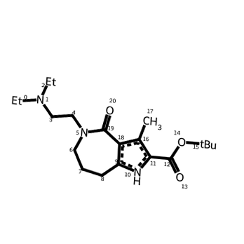 CCN(CC)CCN1CCCc2[nH]c(C(=O)OC(C)(C)C)c(C)c2C1=O